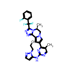 COCCn1nccc1Nc1ncc(C)c(-c2cc3n(c2)C[C@H](C)n2c-3nnc2C(F)(F)c2ccccc2F)n1